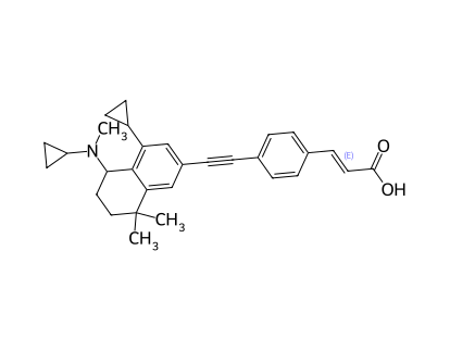 CN(C1CC1)C1CCC(C)(C)c2cc(C#Cc3ccc(/C=C/C(=O)O)cc3)cc(C3CC3)c21